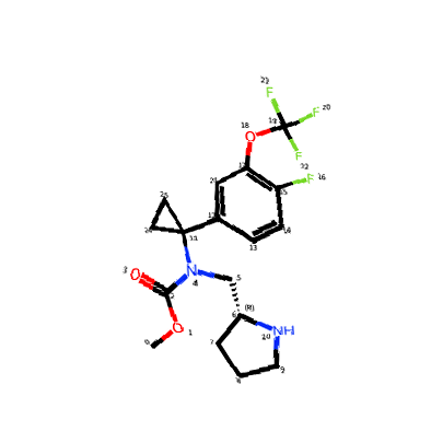 COC(=O)N(C[C@H]1CCCN1)C1(c2ccc(F)c(OC(F)(F)F)c2)CC1